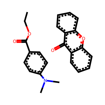 CCOC(=O)c1ccc(N(C)C)cc1.O=c1c2ccccc2oc2ccccc12